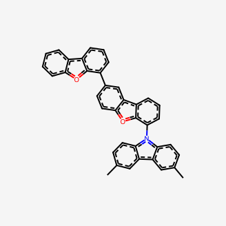 Cc1ccc2c(c1)c1cc(C)ccc1n2-c1cccc2c1oc1ccc(-c3cccc4c3oc3ccccc34)cc12